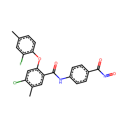 Cc1ccc(Oc2cc(Cl)c(C)cc2C(=O)Nc2ccc(C(=O)N=O)cc2)c(F)c1